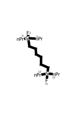 CCC[Si](F)(CCC)CCCCCC[Si](F)(CCC)CCC